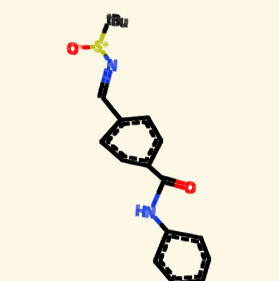 CC(C)(C)[S+]([O-])N=Cc1ccc(C(=O)Nc2ccccc2)cc1